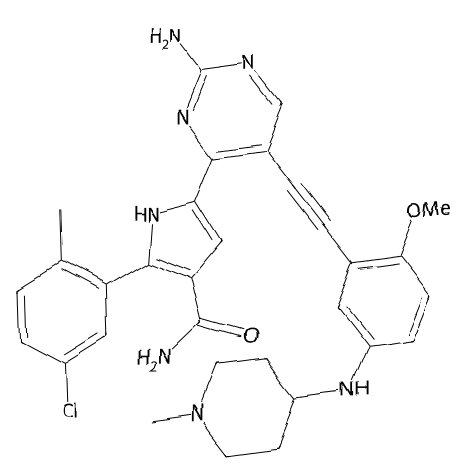 COc1ccc(NC2CCN(C)CC2)cc1C#Cc1cnc(N)nc1-c1cc(C(N)=O)c(-c2cc(Cl)ccc2C)[nH]1